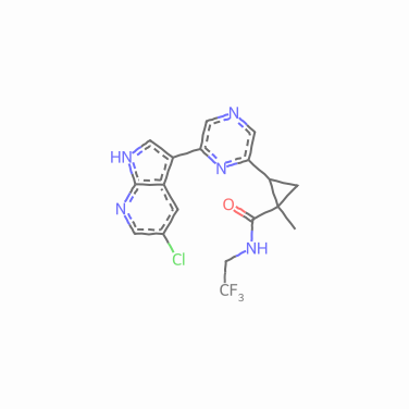 CC1(C(=O)NCC(F)(F)F)CC1c1cncc(-c2c[nH]c3ncc(Cl)cc23)n1